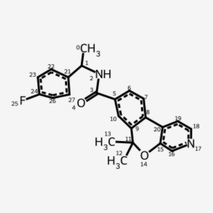 CC(NC(=O)c1ccc2c(c1)C(C)(C)Oc1cnccc1-2)c1ccc(F)cc1